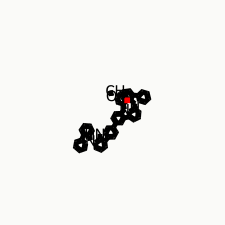 COc1cccc(-n2c3ccc(-c4ccc5c(c4)[nH]c4c(-n6c7ccccc7c7ccccc76)cccc45)cc3c3cccc(-n4c5ccccc5c5ccccc54)c32)c1